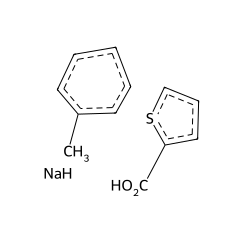 Cc1ccccc1.O=C(O)c1cccs1.[NaH]